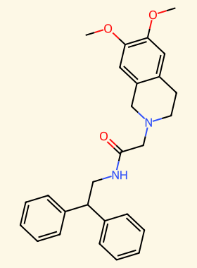 COc1cc2c(cc1OC)CN(CC(=O)NCC(c1ccccc1)c1ccccc1)CC2